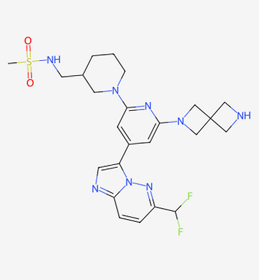 CS(=O)(=O)NCC1CCCN(c2cc(-c3cnc4ccc(C(F)F)nn34)cc(N3CC4(CNC4)C3)n2)C1